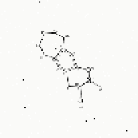 CN1Oc2cc3c(cc2CC1=O)CCCCC3